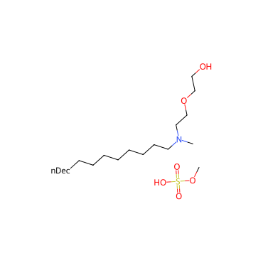 CCCCCCCCCCCCCCCCCCN(C)CCOCCO.COS(=O)(=O)O